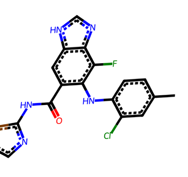 Cc1ccc(Nc2c(C(=O)Nc3nccs3)cc3[nH]cnc3c2F)c(Cl)c1